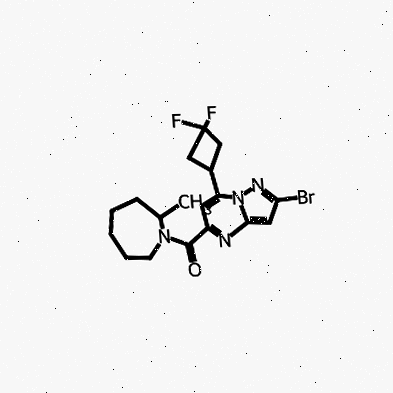 CC1CCCCCN1C(=O)c1cc(C2CC(F)(F)C2)n2nc(Br)cc2n1